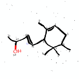 CC1=CCC(C)C(C)(C)C1/C=C/C(C)O